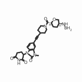 BN[C@H]1CC[C@H](C(=O)N2CCC(C#Cc3ccc4c(c3)n(C)c(=O)n4C3CCC(=O)NC3=O)CC2)OC1